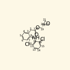 O=C(Cc1ccccc1Nc1c(Cl)cccc1Cl)OC[C@@H]1CO1